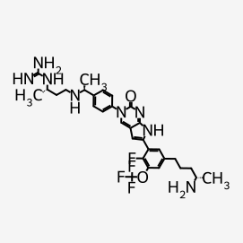 C[C@H](N)CCCc1cc(OC(F)(F)F)c(F)c(-c2cc3cn(-c4ccc([C@H](C)NCC[C@H](C)NC(=N)N)cc4)c(=O)nc3[nH]2)c1